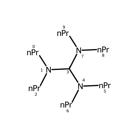 CCCN(CCC)[C](N(CCC)CCC)N(CCC)CCC